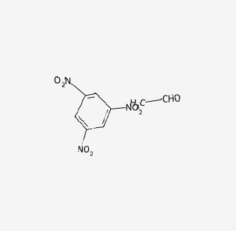 CC=O.O=[N+]([O-])c1cc([N+](=O)[O-])cc([N+](=O)[O-])c1